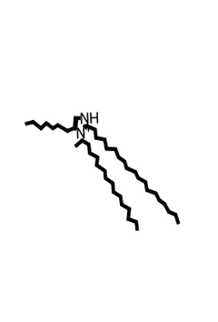 CCCCCCCCCCCCCCCCCCc1[nH]cc(CCCCCCC)[n+]1C(C)CCCCCCCCCCCCCC